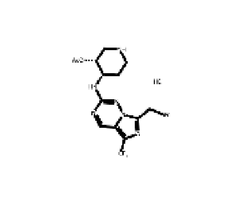 CC(=O)O[C@@H]1CNCC[C@H]1Nc1ncc2c(C(F)(F)F)nc(CC(C)C)n2n1.Cl